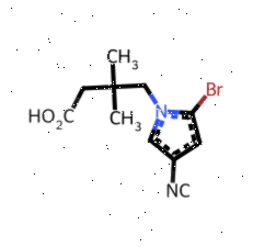 [C-]#[N+]c1cc(Br)n(CC(C)(C)CC(=O)O)c1